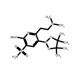 COc1nc(CCN(C)C)c(B2OC(C)(C)C(C)(C)O2)cc1S(N)(=O)=O